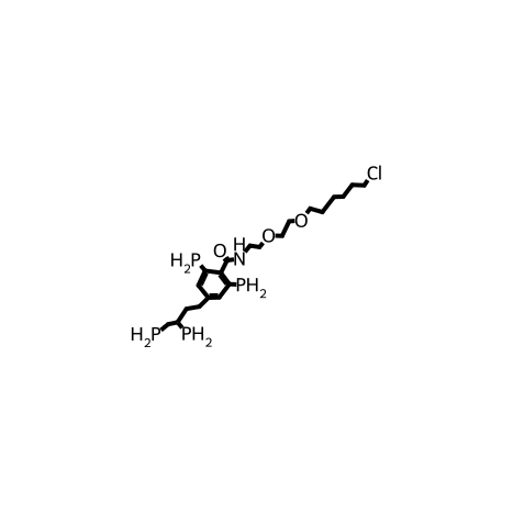 O=C(NCCOCCOCCCCCCCl)c1c(P)cc(CCC(P)CP)cc1P